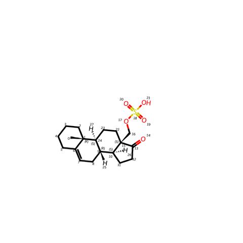 C[C@]12CCCCC1=CC[C@H]1[C@@H]3CCC(=O)[C@@]3(COS(=O)(=O)O)CC[C@@H]12